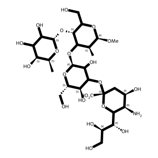 CO[C@@H]1OC(CO)[C@@H](O[C@@H]2O[C@@H](C)[C@@H](O)C(O)C2O)C(O[C@@H]2O[C@@H](CO)[C@H](O)C(O[C@]3(C(=O)O)C[C@@H](O)[C@@H](N)C([C@H](O)[C@H](O)CO)O3)C2O)[C@@H]1C